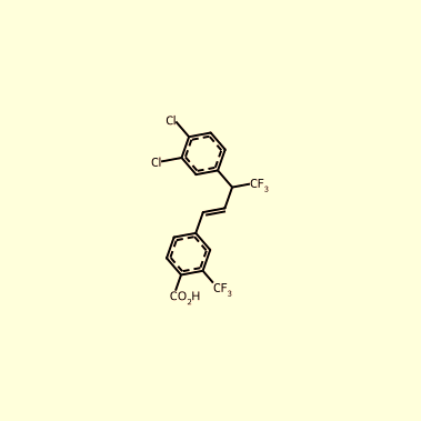 O=C(O)c1ccc(/C=C/C(c2ccc(Cl)c(Cl)c2)C(F)(F)F)cc1C(F)(F)F